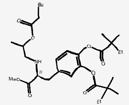 CCC(C)CC(=O)OC(C)CN[C@@H](Cc1ccc(OC(=O)C(C)(C)CC)c(OC(=O)C(C)(C)CC)c1)C(=O)OC